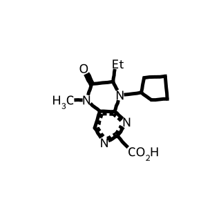 CCC1C(=O)N(C)c2cnc(C(=O)O)nc2N1C1CCCC1